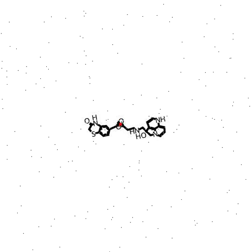 O=C1CSc2ccc(N3CC4(CCNCC5(O)CN6C=CC=C7NC=CC5=C76)OC3O4)cc2N1